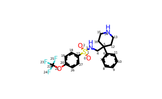 O=S(=O)(NCC1(c2ccccc2)CCNCC1)c1ccc(OC(F)(F)F)cc1